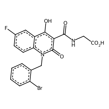 O=C(O)CNC(=O)c1c(O)c2cc(F)ccc2n(Cc2ccccc2Br)c1=O